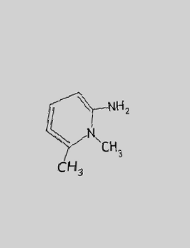 CC1=C=CC=C(N)N1C